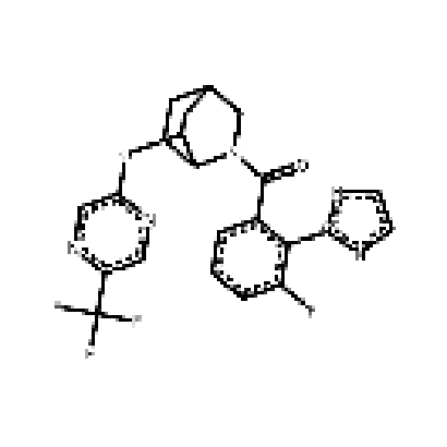 O=C(c1cccc(F)c1-n1nccn1)N1CC2CCC1C(Oc1cnc(C(F)(F)F)cn1)C2